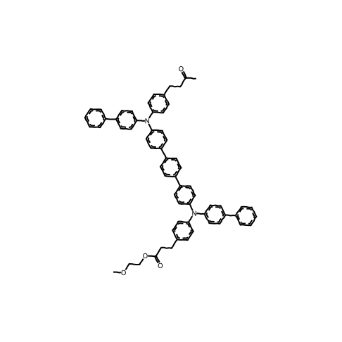 COCCOC(=O)CCc1ccc(N(c2ccc(-c3ccccc3)cc2)c2ccc(-c3ccc(-c4ccc(N(c5ccc(CCC(C)=O)cc5)c5ccc(-c6ccccc6)cc5)cc4)cc3)cc2)cc1